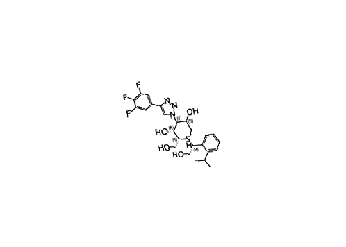 CC(C)c1ccccc1[C@H](CO)[SH]1C[C@H](O)[C@H](n2cc(-c3cc(F)c(F)c(F)c3)nn2)[C@@H](O)[C@H]1CO